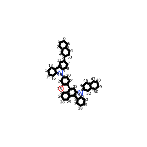 c1ccc2cc(-c3ccc4c(c3)c3ccccc3n4-c3ccc4c(c3)Oc3cccc5c3c-4cc3c5c4ccccc4n3-c3ccc4ccccc4c3)ccc2c1